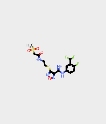 CS(=O)(=O)CC(=O)NCCSc1nonc1C(=N)Nc1ccc(F)c(C(F)F)c1